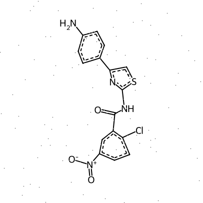 Nc1ccc(-c2csc(NC(=O)c3cc([N+](=O)[O-])ccc3Cl)n2)cc1